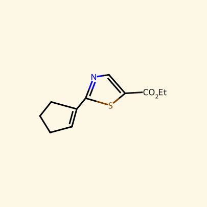 CCOC(=O)c1cnc(C2=CCCC2)s1